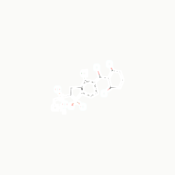 CCS(=O)(=O)C1Cc2c(ccc(C(=O)C3C(=O)CCCC3=O)c2Cl)S1(=O)=O